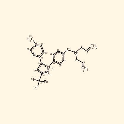 C=CCN(CC=C)Sc1ccc(-n2nc(C(F)(F)F)cc2-c2ccc(C)cc2)cc1